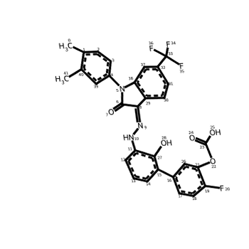 Cc1ccc(N2C(=O)C(=NNc3cccc(-c4ccc(F)c(OC(=O)O)c4)c3O)c3ccc(C(F)(F)F)cc32)cc1C